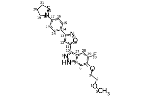 COCCOc1cc2[nH]nc(-c3cc(-c4ccc(N5CCCS5)cc4)no3)c2cc1F